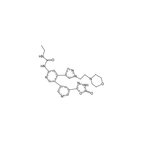 CCNC(=O)Nc1cc(-c2cnn(CCN3CCOCC3)c2)c(-c2cncc(-c3n[nH]c(=O)o3)c2)cn1